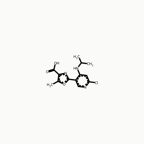 Cc1oc(-c2cnc(Cl)cc2NC(C)C)nc1C(=O)O